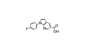 O=C(O)c1cnc2c(ccn2-c2ccc(F)cc2)c1